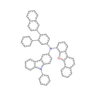 c1ccc(-c2cc(N(c3ccc4c(c3)c3ccccc3n4-c3ccccc3)c3cccc4c3oc3c5ccccc5ccc43)ccc2-c2ccc3ccccc3c2)cc1